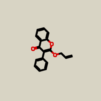 C=CCOc1oc2ccccc2c(=O)c1-c1ccccc1